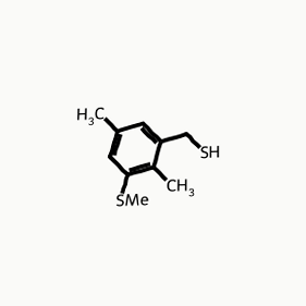 CSc1cc(C)cc(CS)c1C